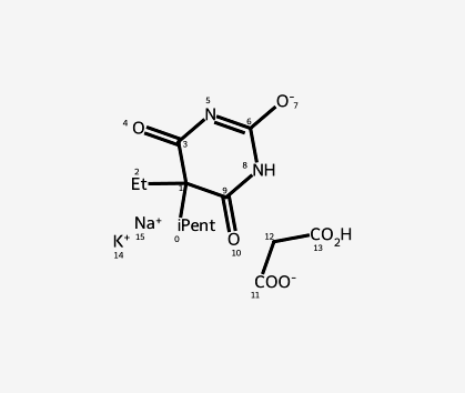 CCCC(C)C1(CC)C(=O)N=C([O-])NC1=O.O=C([O-])CC(=O)O.[K+].[Na+]